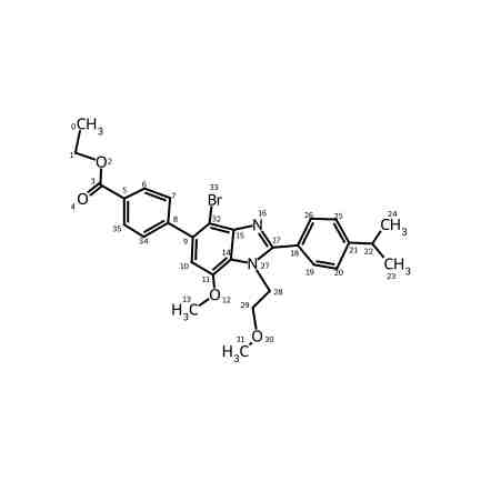 CCOC(=O)c1ccc(-c2cc(OC)c3c(nc(-c4ccc(C(C)C)cc4)n3CCOC)c2Br)cc1